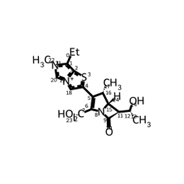 CCc1c2sc(C3=C(C(=O)O)N4C(=O)[C@H]([C@@H](C)O)[C@H]4[C@H]3C)c[n+]2cn1C.[I-]